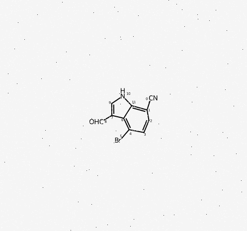 N#Cc1ccc(Br)c2c(C=O)c[nH]c12